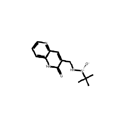 CC(C)(C)[S@@+]([O-])NCc1cc2ncccc2[nH]c1=O